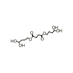 O=C(CCC(=O)OCCCC(O)O)OCCCC(O)O